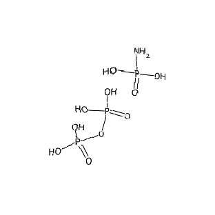 NP(=O)(O)O.O=P(O)(O)OP(=O)(O)O